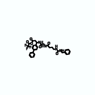 O=C(CCCNC(=O)NCc1ccccc1)NCC(=O)NC(CC(=O)OC(=O)C(F)(F)F)c1ccc(-c2ccccc2)cc1